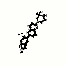 Cn1cc2cc(-c3ccc4nc(N5CCNC(C)(C)C5)ccc4n3)c(O)cc2n1